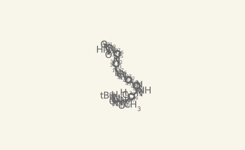 Cc1cc(-c2n[nH]c3ncc(-c4ccc(N5CCN(CC6CCN(c7cccc(N8CCC(=O)NC8=O)c7)CC6)CC5)cc4)cc23)ccc1[C@@H](C)NC(=O)c1noc(C(C)(C)C)n1